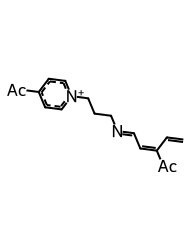 C=C/C(=C\C=NCCC[n+]1ccc(C(C)=O)cc1)C(C)=O